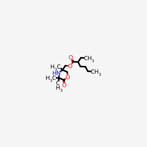 CCCCC(CC)C(=O)OCC1(C)COC(=O)C(C)(C)N1